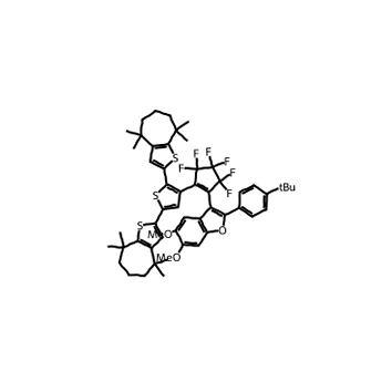 COc1cc2oc(-c3ccc(C(C)(C)C)cc3)c(C3=C(c4cc(-c5cc6c(s5)C(C)(C)CCCC6(C)C)sc4-c4cc5c(s4)C(C)(C)CCCC5(C)C)C(F)(F)C(F)(F)C3(F)F)c2cc1OC